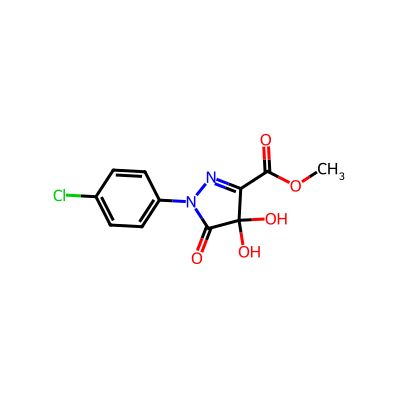 COC(=O)C1=NN(c2ccc(Cl)cc2)C(=O)C1(O)O